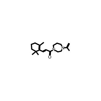 C=C(C)N1CCCN(C(=O)/C=C/C2=C(C)CCCC2(C)C)CC1